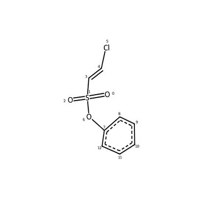 O=S(=O)(C=CCl)Oc1ccccc1